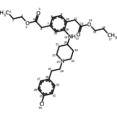 CCCOC(=O)Cc1ccc(CC(=O)OCCC)c(NC2CCN(CCc3ccc(Cl)cc3)CC2)c1